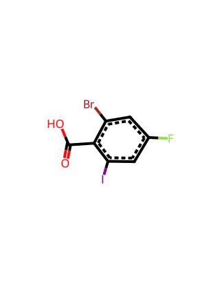 O=C(O)c1c(Br)cc(F)cc1I